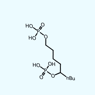 CCCCC(CCCCOP(=O)(O)O)OP(=O)(O)O